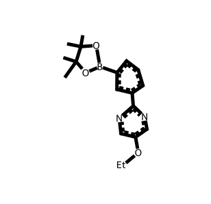 CCOc1cnc(-c2cccc(B3OC(C)(C)C(C)(C)O3)c2)nc1